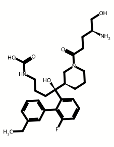 CCc1cccc(-c2c(F)cccc2[C@](O)(CCCNC(=O)O)[C@@H]2CCCN(C(=O)CC[C@H](N)CO)C2)c1